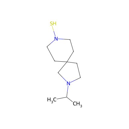 CC(C)N1CCC2(CCN(S)CC2)C1